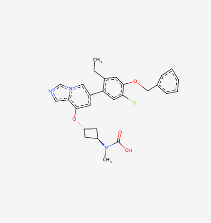 CCc1cc(OCc2ccccc2)c(F)cc1-c1cc(O[C@H]2C[C@H](N(C)C(=O)O)C2)c2cncn2c1